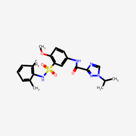 COc1ccc(NC(=O)c2ncn(C(C)C)n2)cc1S(=O)(=O)Nc1c(C)cccc1C